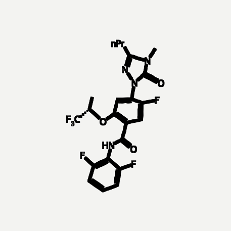 CCCc1nn(-c2cc(O[C@@H](C)C(F)(F)F)c(C(=O)Nc3c(F)cccc3F)cc2F)c(=O)n1C